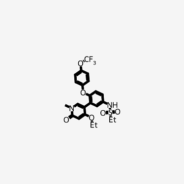 CCOc1cc(=O)n(C)cc1-c1cc(NS(=O)(=O)CC)ccc1Oc1ccc(OC(F)(F)F)cc1